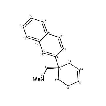 CNC[C@@]1(c2ccc3ccccc3c2)CC=CCC1